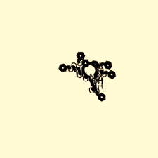 CN(CC(=O)OCc1ccccc1)C(=O)[C@@H]1Cc2cc(ccc2OCc2ccccc2)-c2ccc(OCc3ccccc3)c(c2)C[C@H](NC(=O)OCc2ccccc2)C(=O)N[C@@H](C[C@@H](O)CNC(=O)OCc2ccccc2)C(=O)N1